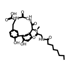 CCCCCCCC(=O)NCC(=O)N(C)C1C(=O)NCC(=O)N[C@H](C(=O)O)Cc2ccc(O)c(c2)-c2cc1ccc2O